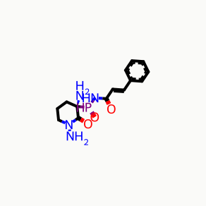 NN1CCC[C@](N)([PH](=O)NC(=O)C=Cc2ccccc2)C1=O